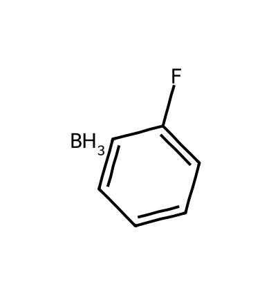 B.Fc1ccccc1